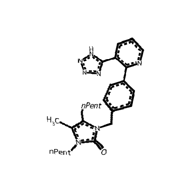 CCCCCc1c(C)n(CCCCC)c(=O)n1Cc1ccc(-c2ncccc2-c2nnn[nH]2)cc1